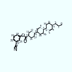 CCC[C@H]1CC[C@H]([C@H]2CC[C@H]([C@H]3CC[C@H](C(=O)Oc4cccc(C#N)c4)CC3)CC2)CC1